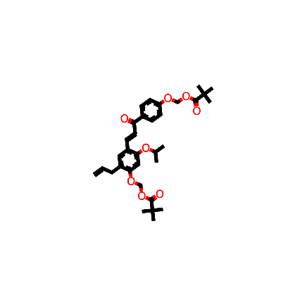 C=CCc1cc(C=CC(=O)c2ccc(OCOC(=O)C(C)(C)C)cc2)c(OC(C)C)cc1OCOC(=O)C(C)(C)C